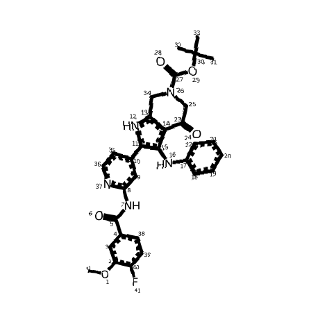 COc1cc(C(=O)Nc2cc(-c3[nH]c4c(c3Nc3ccccc3)C(=O)CN(C(=O)OC(C)(C)C)C4)ccn2)ccc1F